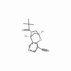 CC(C)(C)C(=O)N1C[C@@H]2C[C@H]1c1cncc(C#N)c1O2